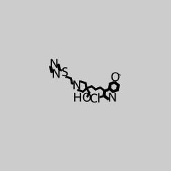 COc1ccc2ncc(Cl)c(CCCC3(CO)CCN(CCCSc4cnccn4)CC3)c2c1